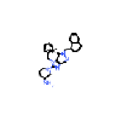 C=C1c2c(nc(N3CCCC(N)C3)n2Cc2ccccc2)C=NN1Cc1cccc2ccccc12